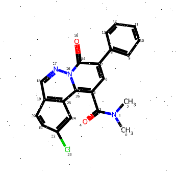 CN(C)C(=O)c1cc(-c2ccccc2)c(=O)n2ncc3ccc(Cl)cc3c12